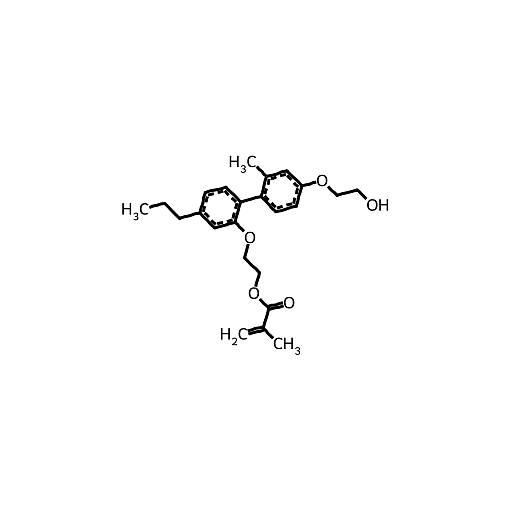 C=C(C)C(=O)OCCOc1cc(CCC)ccc1-c1ccc(OCCO)cc1C